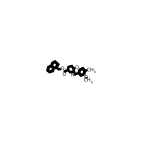 COc1cc(C#N)c(OC2CCC(C(=O)OCc3cccc4ccccc34)CC2)cc1C